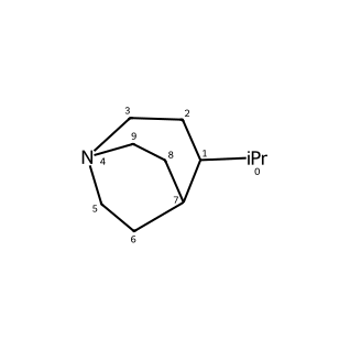 CC(C)C1CCN2CCC1CC2